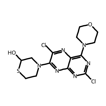 OC1CN(c2nc3nc(Cl)nc(N4CCOCC4)c3nc2Cl)CCS1